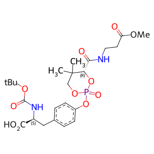 COC(=O)CCNC(=O)[C@@H]1OP(=O)(Oc2ccc(C[C@H](NC(=O)OC(C)(C)C)C(=O)O)cc2)OCC1(C)C